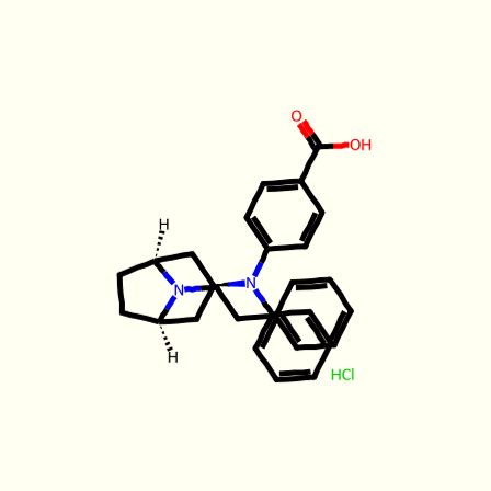 Cl.O=C(O)c1ccc(N(c2ccccc2)[C@H]2C[C@H]3CC[C@@H](C2)N3CCc2ccccc2)cc1